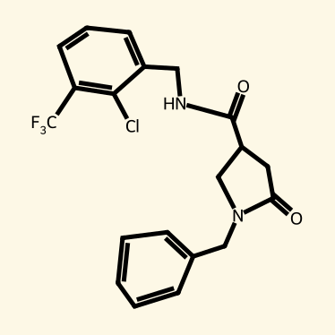 O=C(NCc1cccc(C(F)(F)F)c1Cl)C1CC(=O)N(Cc2ccccc2)C1